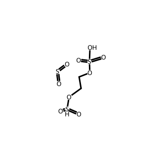 O=S=O.O=[SH](=O)OCCOS(=O)(=O)O